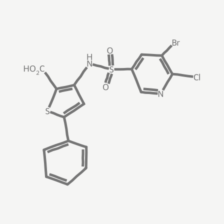 O=C(O)c1sc(-c2ccccc2)cc1NS(=O)(=O)c1cnc(Cl)c(Br)c1